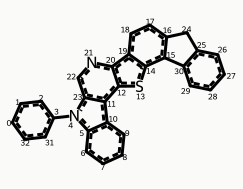 c1ccc(-n2c3ccccc3c3c4sc5c6c(ccc5c4ncc32)Cc2ccccc2-6)cc1